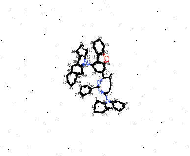 CC1CC/C(n2c3ccccc3c3ccccc32)=N\C(c2ccccc2)=N/C1c1cc(-n2c3ccccc3c3cc4ccccc4cc32)c2c(c1)oc1ccccc12